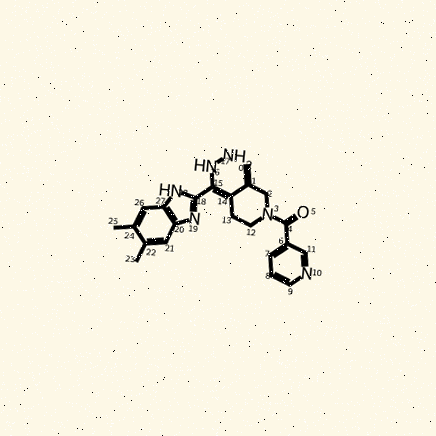 C=C1CN(C(=O)c2cccnc2)CC/C1=C(/NN)c1nc2cc(C)c(C)cc2[nH]1